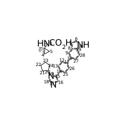 CC1(NC(=O)O)CC1.c1cc2cc(-c3ccc(-c4cncn4C4CCCC4)cc3)ccc2[nH]1